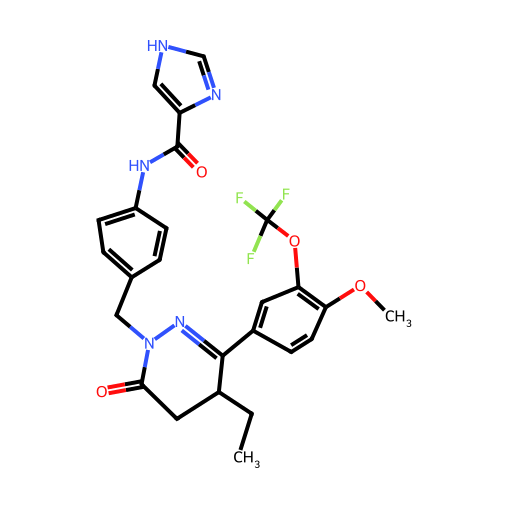 CCC1CC(=O)N(Cc2ccc(NC(=O)c3c[nH]cn3)cc2)N=C1c1ccc(OC)c(OC(F)(F)F)c1